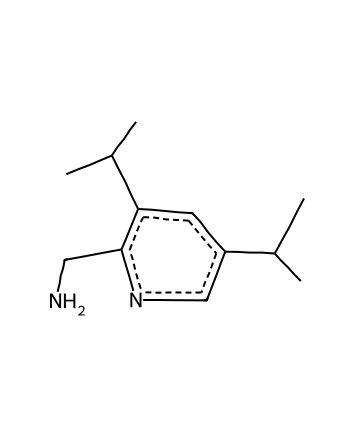 CC(C)c1cnc(CN)c(C(C)C)c1